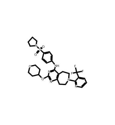 O=S(=O)(c1ccc(Nc2nc(OC3CCOCC3)nc3c2CCN(c2ncccc2C(F)(F)F)CC3)cc1)N1CCCC1